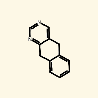 c1ccc2c(c1)Cc1cncnc1C2